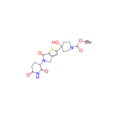 CC(C)(C)OC(=O)N1CCC(O)(c2cc3c(s2)C(=O)N(C2CCC(=O)NC2=O)C3)CC1